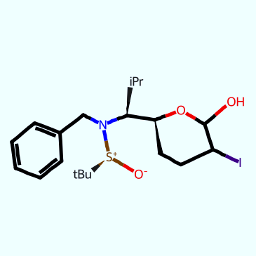 CC(C)[C@@H]([C@@H]1CCC(I)C(O)O1)N(Cc1ccccc1)[S@@+]([O-])C(C)(C)C